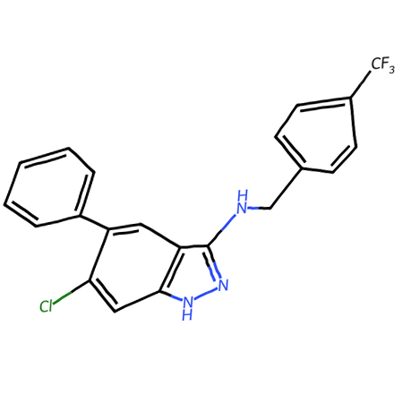 FC(F)(F)c1ccc(CNc2n[nH]c3cc(Cl)c(-c4ccccc4)cc23)cc1